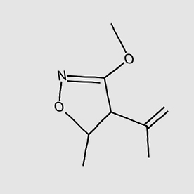 C=C(C)C1C(OC)=NOC1C